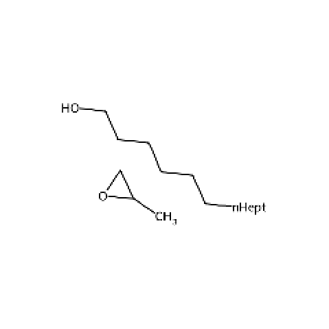 CC1CO1.CCCCCCCCCCCCCO